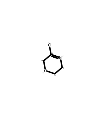 ClC1=NCCOC1